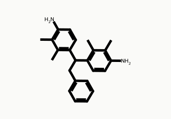 Cc1c(N)ccc(C(Cc2ccccc2)c2ccc(N)c(C)c2C)c1C